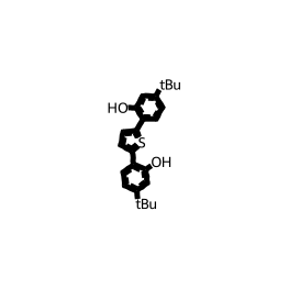 CC(C)(C)c1ccc(-c2ccc(-c3ccc(C(C)(C)C)cc3O)s2)c(O)c1